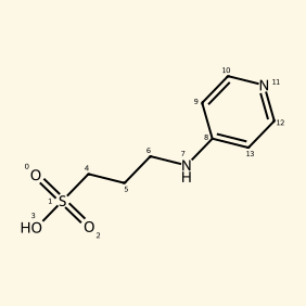 O=S(=O)(O)CCCNc1ccncc1